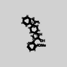 COc1cccnc1N1C[C@]2(CC[C@](c3ccccc3)(N(C)C)CC2)NC1O